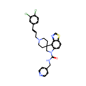 O=C(NCc1ccncc1)N1CC2(CCN(CC=Cc3ccc(Cl)c(Cl)c3)CC2)c2c1ccc1scnc21